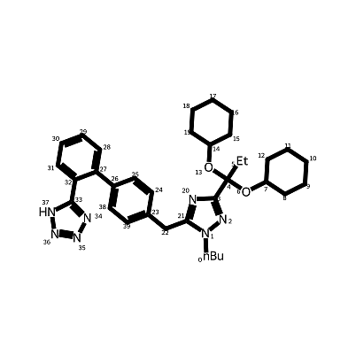 CCCCn1nc(C(CC)(OC2CCCCC2)OC2CCCCC2)nc1Cc1ccc(-c2ccccc2-c2nnn[nH]2)cc1